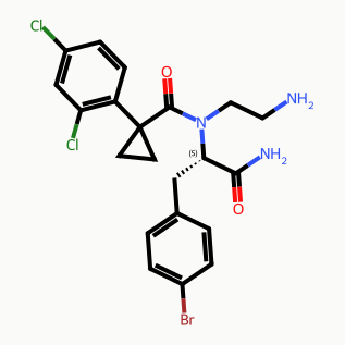 NCCN(C(=O)C1(c2ccc(Cl)cc2Cl)CC1)[C@@H](Cc1ccc(Br)cc1)C(N)=O